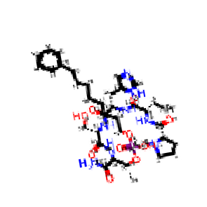 CC(=O)N1CCC[C@H]1C(=O)N[C@@H](CC(C)C)C(=O)N[C@@H](Cc1cnc[nH]1)C(=O)N[C@@H](CO)C(=O)N[C@H](C(N)=O)[C@@H](C)OP(=O)(O)OCCCCCCCCc1ccccc1